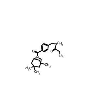 CN(Cc1ccc(C(=O)N2CC3(C)CC2CC(C)(C)C3)cc1)C(=O)CC(C)(C)C